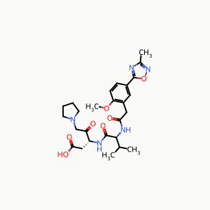 COc1ccc(-c2nc(C)no2)cc1CC(=O)N[C@H](C(=O)N[C@H](CC(=O)O)C(=O)CN1CCCC1)C(C)C